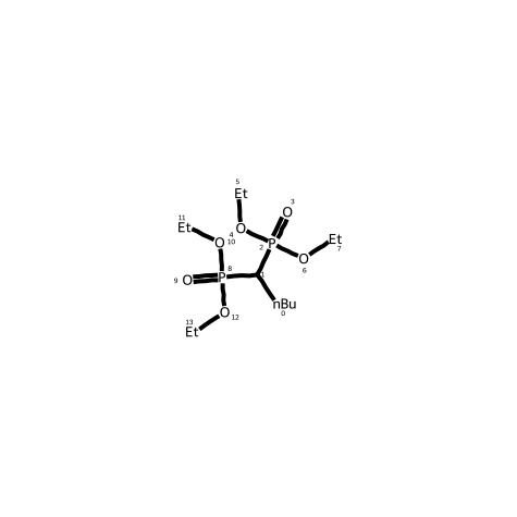 CCCCC(P(=O)(OCC)OCC)P(=O)(OCC)OCC